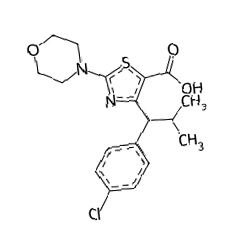 CC(C)C(c1ccc(Cl)cc1)c1nc(N2CCOCC2)sc1C(=O)O